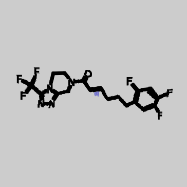 O=C(/C=C/CCCc1cc(F)c(F)cc1F)N1CCn2c(nnc2C(F)(F)F)C1